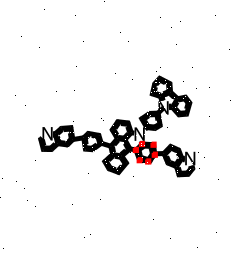 c1ccc(N(c2ccc(-n3c4ccccc4c4ccccc43)cc2)c2cccc3c(-c4ccc(-c5ccc6ncccc6c5)cc4)c4ccccc4c(-c4ccc(-c5ccc6ncccc6c5)cc4)c23)cc1